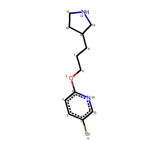 Brc1ccc(OCCCC2CCNC2)nc1